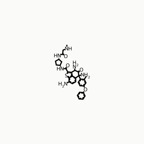 CNCC(=O)N[C@H]1CC[C@H](NC(=O)c2sc3c(N)ccc4c3c2C(N)C(=O)C4(N)c2ccc(Oc3ccccc3)cc2C)C1